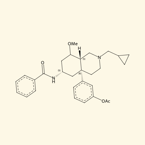 COC1C[C@@H](NC(=O)c2ccccc2)C[C@]2(c3cccc(OC(C)=O)c3)CCN(CC3CC3)C[C@@H]12